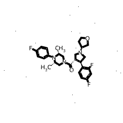 C[C@@H]1CN(C(=O)[C@@H]2CN([C@H]3CCOC3)C[C@H]2c2ccc(F)cc2F)C[C@H](C)N1c1ccc(F)cc1